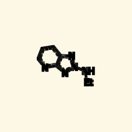 CCNn1nc2cccnc2n1